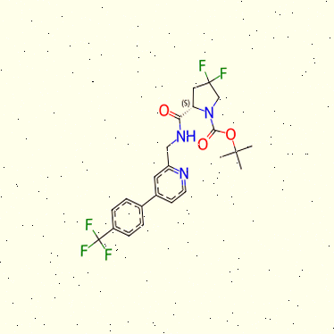 CC(C)(C)OC(=O)N1CC(F)(F)C[C@H]1C(=O)NCc1cc(-c2ccc(C(F)(F)F)cc2)ccn1